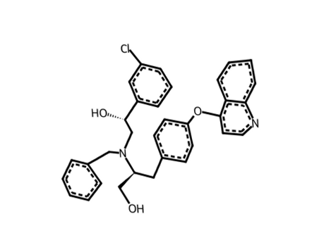 OC[C@H](Cc1ccc(Oc2ccnc3ccccc23)cc1)N(Cc1ccccc1)C[C@H](O)c1cccc(Cl)c1